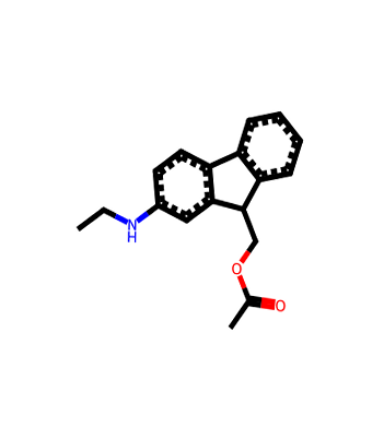 CCNc1ccc2c(c1)C(COC(C)=O)c1ccccc1-2